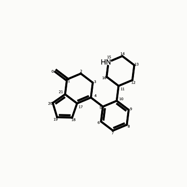 C=C1CCC(c2ccccc2C2CCCNC2)=C2C=CC=C12